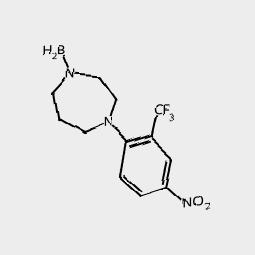 BN1CCCN(c2ccc([N+](=O)[O-])cc2C(F)(F)F)CC1